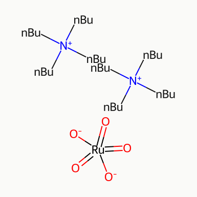 CCCC[N+](CCCC)(CCCC)CCCC.CCCC[N+](CCCC)(CCCC)CCCC.[O]=[Ru](=[O])(=[O])([O-])[O-]